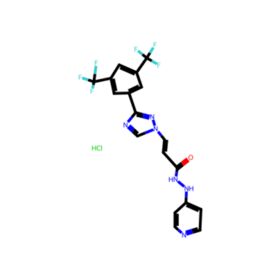 Cl.O=C(C=Cn1cnc(-c2cc(C(F)(F)F)cc(C(F)(F)F)c2)n1)NNc1ccncc1